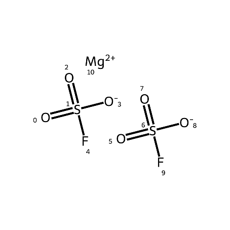 O=S(=O)([O-])F.O=S(=O)([O-])F.[Mg+2]